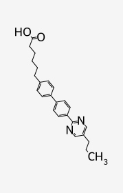 CCCc1cnc(-c2ccc(-c3ccc(CCCCCC(=O)O)cc3)cc2)nc1